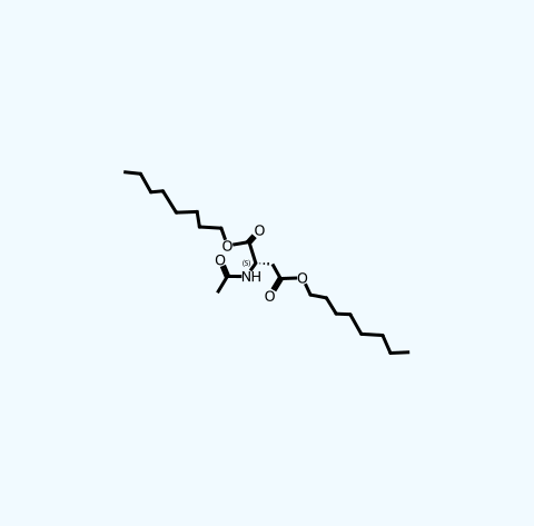 CCCCCCCCOC(=O)C[C@H](NC(C)=O)C(=O)OCCCCCCCC